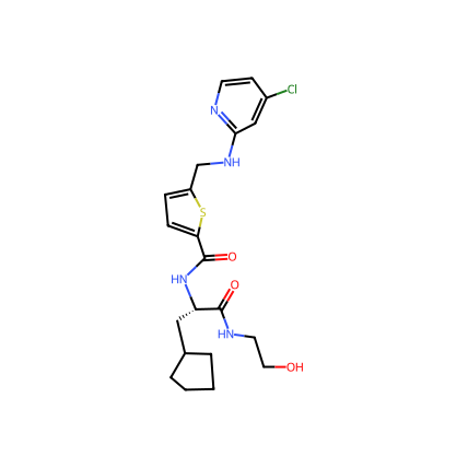 O=C(N[C@@H](CC1CCCC1)C(=O)NCCO)c1ccc(CNc2cc(Cl)ccn2)s1